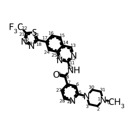 CN1CCN(c2cc(C(=O)Nc3ncc4ccc(-c5nnc(C(F)(F)F)s5)cc4n3)ccn2)CC1